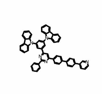 c1ccc(-c2nc(-c3ccc(-c4ccc(-c5cccnc5)cc4)cc3)cc(-c3cc(-n4c5ccccc5c5ccccc54)cc(-n4c5ccccc5c5ccccc54)c3)n2)cc1